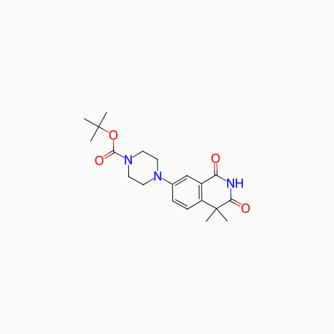 CC(C)(C)OC(=O)N1CCN(c2ccc3c(c2)C(=O)NC(=O)C3(C)C)CC1